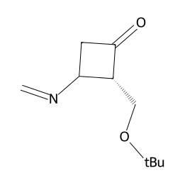 C=NC1CC(=O)[C@@H]1COC(C)(C)C